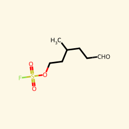 CC(CCC=O)CCOS(=O)(=O)F